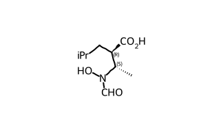 CC(C)C[C@@H](C(=O)O)[C@H](C)N(O)C=O